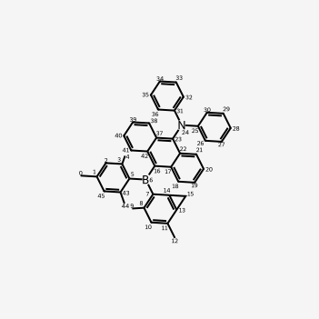 Cc1cc(C)c(B(c2c(C)cc(C)c3c2C3)c2c3ccccc3c(N(c3ccccc3)c3ccccc3)c3ccccc23)c(C)c1